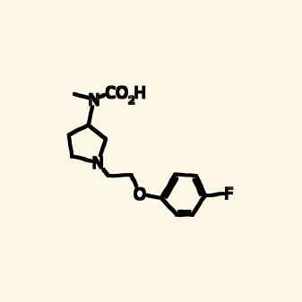 CN(C(=O)O)C1CCN(CCOc2ccc(F)cc2)C1